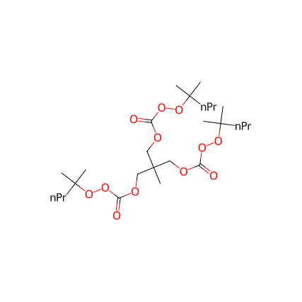 CCCC(C)(C)OOC(=O)OCC(C)(COC(=O)OOC(C)(C)CCC)COC(=O)OOC(C)(C)CCC